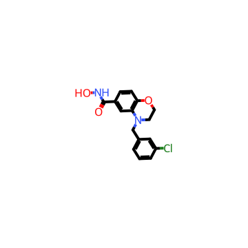 O=C(NO)c1ccc2c(c1)N(Cc1cccc(Cl)c1)CCO2